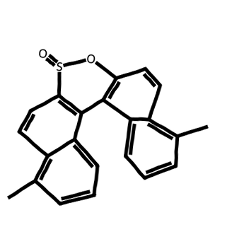 Cc1cccc2c3c(ccc12)OS(=O)c1ccc2c(C)cccc2c1-3